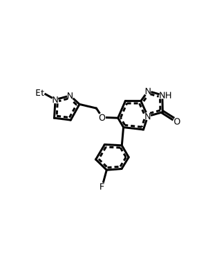 CCn1ccc(COc2cc3n[nH]c(=O)n3cc2-c2ccc(F)cc2)n1